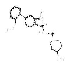 COc1ccccc1-c1ccc2c(NC(=O)N3CCC(O)CC3)n[nH]c2c1